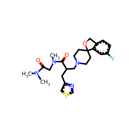 CN(C)C(=O)CN(C)C(=O)C(Cc1cscn1)CN1CCC2(CC1)OCc1ccc(F)cc12